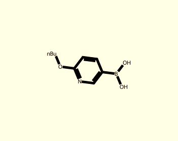 CCCCOc1ccc(B(O)O)cn1